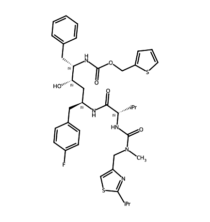 CC(C)c1nc(CN(C)C(=O)N[C@H](C(=O)N[C@@H](Cc2ccc(F)cc2)C[C@H](O)[C@H](Cc2ccccc2)NC(=O)OCc2cccs2)C(C)C)cs1